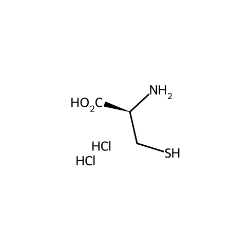 Cl.Cl.N[C@@H](CS)C(=O)O